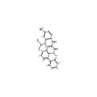 CC(NC(=O)Nc1ccc(Br)cc1OC(F)F)c1nccnc1-c1ncccn1